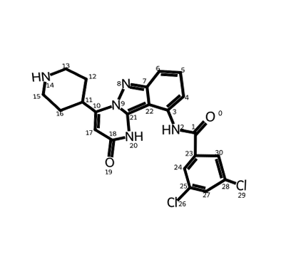 O=C(Nc1cccc2nn3c(C4CCNCC4)cc(=O)[nH]c3c12)c1cc(Cl)cc(Cl)c1